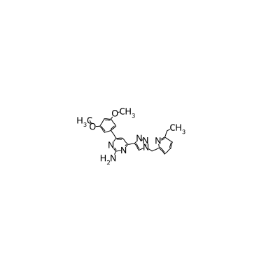 CCc1cccc(Cn2cc(-c3cc(-c4cc(OC)cc(OC)c4)nc(N)n3)nn2)n1